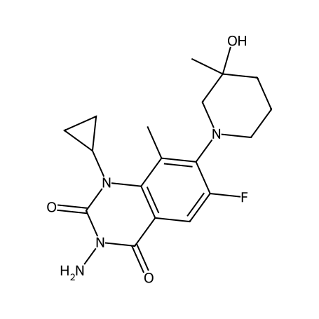 Cc1c(N2CCCC(C)(O)C2)c(F)cc2c(=O)n(N)c(=O)n(C3CC3)c12